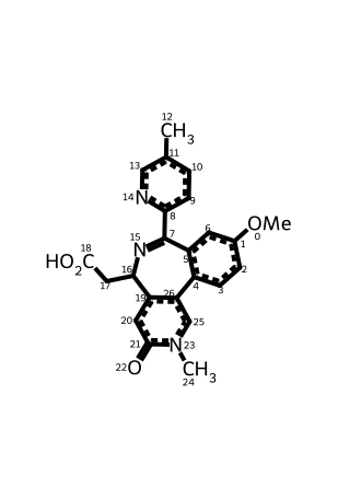 COc1ccc2c(c1)C(c1ccc(C)cn1)=NC(CC(=O)O)c1cc(=O)n(C)cc1-2